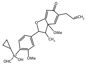 C=CCC1=CC2(OC)C(=CC1=O)OC(c1ccc([N+](O)(C=O)C3CC3)c(OC)c1)C2C